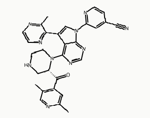 Cc1cc(C(=O)[C@@H]2CNCCN2c2ncnc3c2c(-c2nccnc2C)cn3-c2cc(C#N)ccn2)c(C)cn1